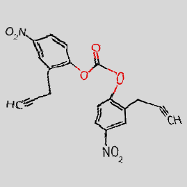 C#CCc1cc([N+](=O)[O-])ccc1OC(=O)Oc1ccc([N+](=O)[O-])cc1CC#C